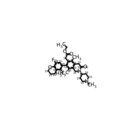 CCOC(=O)Cc1c(C)c2c(c(C)c1-c1cc(F)c3c(c1C)CCCO3)CN(C1CCN(C)CC1)C(=O)C2